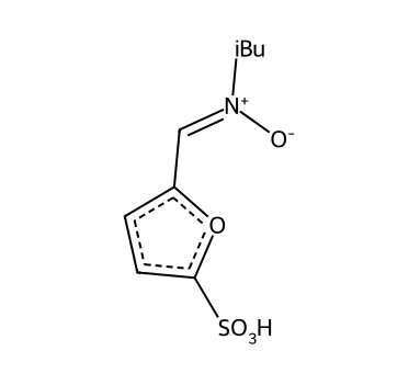 CCC(C)[N+]([O-])=Cc1ccc(S(=O)(=O)O)o1